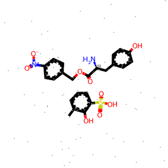 Cc1cccc(S(=O)(=O)O)c1O.N[C@@H](Cc1ccc(O)cc1)C(=O)OCc1ccc([N+](=O)[O-])cc1